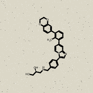 Cc1c(-c2ccc3c(c2)OCCO3)cccc1-c1ccn2c(-c3ccc(CNC[C@H](O)CO)cc3)cnc2c1